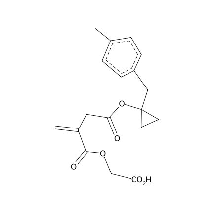 C=C(CC(=O)OC1(Cc2ccc(C)cc2)CC1)C(=O)OCC(=O)O